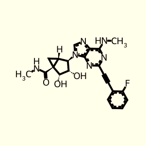 CNC(=O)[C@@]12C[C@@H]1[C@@H](n1cnc3c(NC)nc(C#Cc4ccccc4F)nc31)[C@H](O)[C@@H]2O